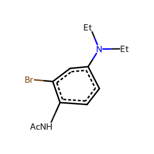 CCN(CC)c1ccc(NC(C)=O)c(Br)c1